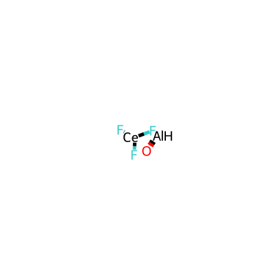 [F][Ce]([F])[F].[O]=[AlH]